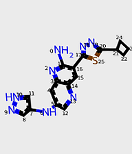 Nc1nc2cc(Nc3cn[nH]c3)cnc2cc1-c1nnc(C2CCC2)s1